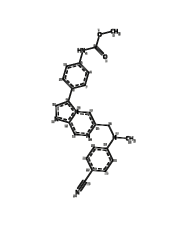 COC(=O)Nc1ccc(-c2cnc3cnc(CN(C)c4ccc(C#N)cc4)cn23)cc1